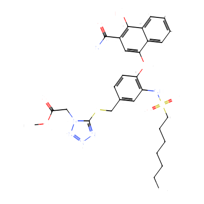 CCCCCCCCCCCCCCCCS(=O)(=O)Nc1cc(CSc2nnnn2CC(=O)OCCC)ccc1Oc1cc(C(N)=O)c(O)c2ccccc12